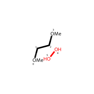 COCCOC.OO